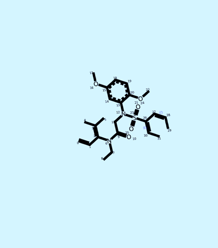 C=CC(=C(C)C)N(CC)C(=O)CN(c1cc(OC)ccc1OC)S(=O)(=O)C(/C=C\C)=C/C